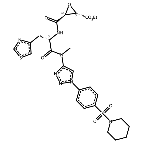 CCOC(=O)[C@H]1O[C@@H]1C(=O)N[C@@H](Cc1cscn1)C(=O)N(C)c1cn(-c2ccc(S(=O)(=O)N3CCCCC3)cc2)nn1